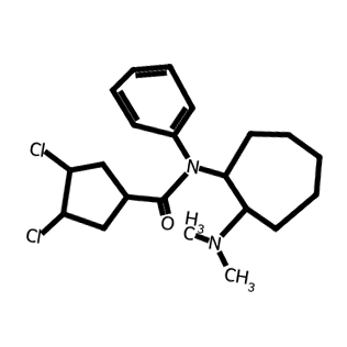 CN(C)C1CCCCCC1N(C(=O)C1CC(Cl)C(Cl)C1)c1ccccc1